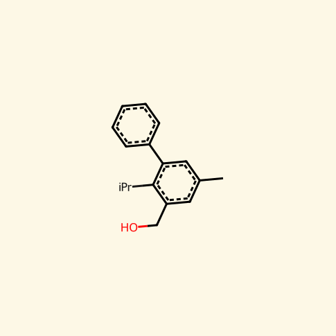 Cc1cc(CO)c(C(C)C)c(-c2ccccc2)c1